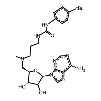 CN(CCCNC(=O)Nc1ccc(C(C)(C)C)cc1)C[C@H]1O[C@@H](n2cnc3c(N)ncnc32)C(O)[C@@H]1O